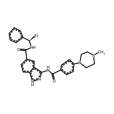 CC[C@@H](NC(=O)c1ccc2[nH]nc(NC(=O)c3ccc(N4CCN(C)CC4)cc3)c2c1)c1ccccc1